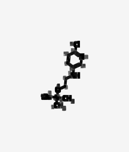 CC(C)(C)[Si](C)(C)OCCNc1ccc(Cl)nc1